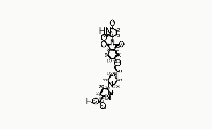 O=C1CCC(N2C(=O)c3ccc(OCCN4CCN(c5ccc(C(=O)O)nn5)CC4)cc3C2=O)C(=O)N1